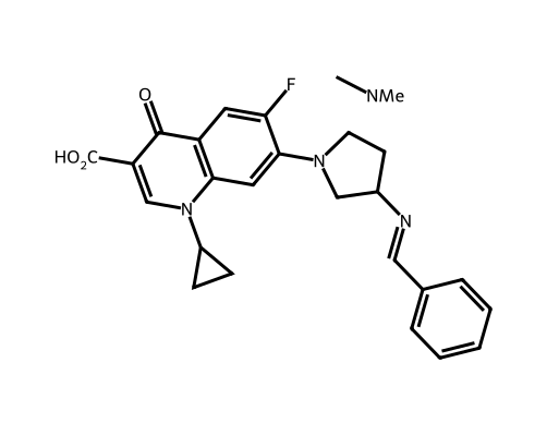 CNC.O=C(O)c1cn(C2CC2)c2cc(N3CCC(N=Cc4ccccc4)C3)c(F)cc2c1=O